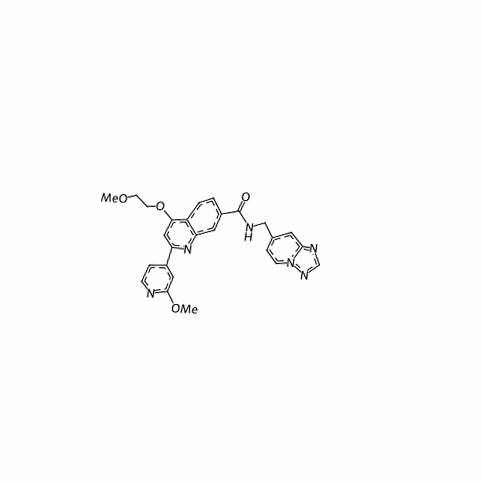 COCCOc1cc(-c2ccnc(OC)c2)nc2cc(C(=O)NCc3ccn4ncnc4c3)ccc12